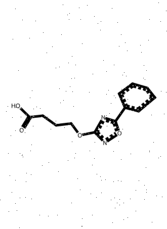 O=C(O)CCCOc1noc(-c2ccccc2)n1